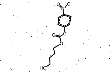 O=C(OCCCCO)Oc1ccc([N+](=O)[O-])cc1